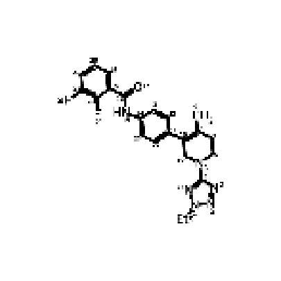 CCn1nnc(N2CCC(C)=C(c3ccc(NC(=O)c4cccc(F)c4F)cc3)C2)n1